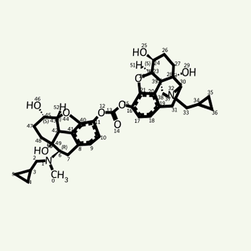 CN(CC1CC1)[C@@H]1Cc2ccc(OC(=O)Oc3ccc4c5c3O[C@H]3[C@@H](O)CC[C@@]6(O)C(C4)N(CC4CC4)CC[C@]536)c3c2C2[C@@H](O3)[C@@H](O)CC[C@]21O